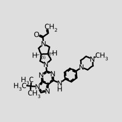 C=CC(=O)N1C[C@@H]2CN(c3nc(Nc4ccc(N5CCN(C)CC5)cc4)c4ncn(C(C)(C)C)c4n3)C[C@@H]2C1